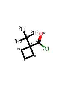 [2H]C([2H])([2H])C1(C(=O)Cl)CCC1